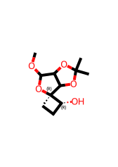 COC1O[C@@]2(CC[C@H]2O)C2OC(C)(C)OC12